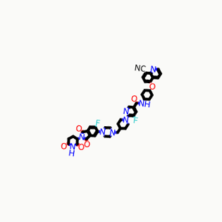 N#Cc1ccc(O[C@H]2CC[C@H](NC(=O)c3cnc(N4CCC(CN5CCN(c6cc7c(cc6F)C(=O)N(C6CCC(=O)NC6=O)C7=O)CC5)CC4)c(F)c3)CC2)c2cccnc12